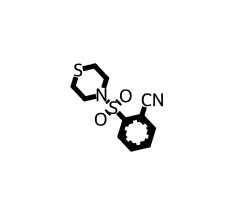 N#Cc1ccccc1S(=O)(=O)N1CCSCC1